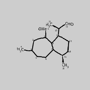 COC1CC(C)CCC2C1C(C(C)C=O)CC[C@H]2C